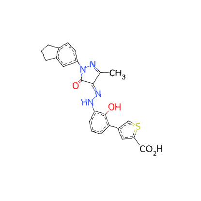 CC1=NN(c2ccc3c(c2)CCC3)C(=O)C1=NNc1cccc(-c2csc(C(=O)O)c2)c1O